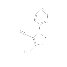 N#CC1=C(N)SCC1c1ccccc1